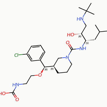 CC(C)C[C@H](NC(=O)N1CCC[C@@H]([C@@H](OCCNC(=O)O)c2cccc(Cl)c2)C1)[C@H](O)CNC(C)(C)C